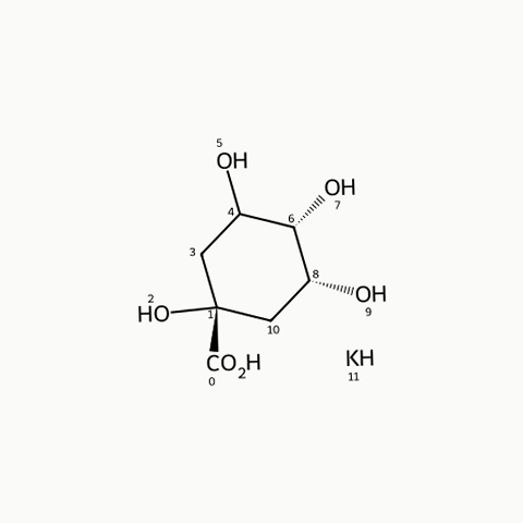 O=C(O)[C@@]1(O)CC(O)[C@H](O)[C@H](O)C1.[KH]